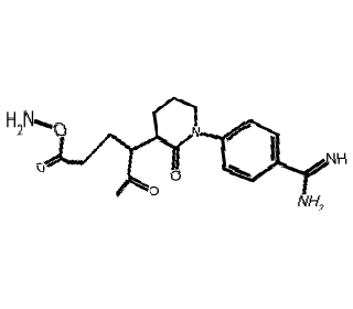 CC(=O)C(CCC(=O)ON)C1CCCN(c2ccc(C(=N)N)cc2)C1=O